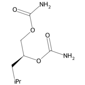 CC(C)C[C@@H](COC(N)=O)OC(N)=O